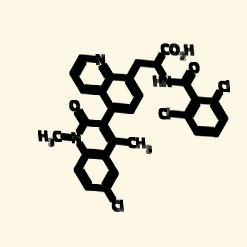 Cc1c(-c2ccc(CC(NC(=O)c3c(Cl)cccc3Cl)C(=O)O)c3ncccc23)c(=O)n(C)c2ccc(Cl)cc12